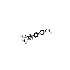 C=C1OB(c2ccc(N3CCN(C)CC3)cc2)OC1=C